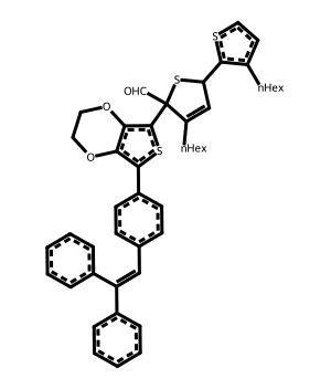 CCCCCCC1=CC(c2sccc2CCCCCC)SC1(C=O)c1sc(-c2ccc(C=C(c3ccccc3)c3ccccc3)cc2)c2c1OCCO2